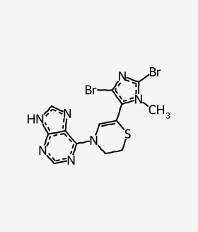 Cn1c(Br)nc(Br)c1C1=CN(c2ncnc3[nH]cnc23)CCS1